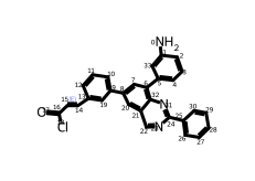 Nc1cccc(-c2cc(-c3cccc(/C=C/C(=O)Cl)c3)cc3cnc(-c4ccccc4)nc23)c1